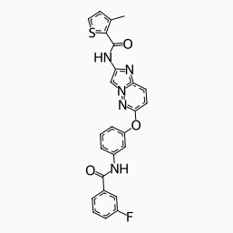 Cc1ccsc1C(=O)Nc1cn2nc(Oc3cccc(NC(=O)c4cccc(F)c4)c3)ccc2n1